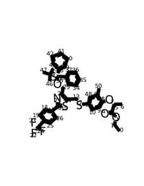 CCOC(=O)C(C)Oc1ccc(SCc2sc(-c3ccc(C(F)(F)F)cc3)nc2CO[Si](c2ccccc2)(c2ccccc2)C(C)(C)C)cc1C